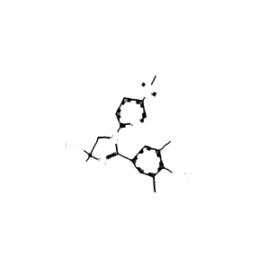 COc1c(C)cc(C2=NC(O)(C(F)(F)F)CN2c2ccc(S(C)(=O)=O)cc2)cc1C